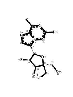 Cc1nc(F)nn2c([C@@H]3O[C@@](CO)(CF)[C@@H](O)[C@H]3F)cnc12